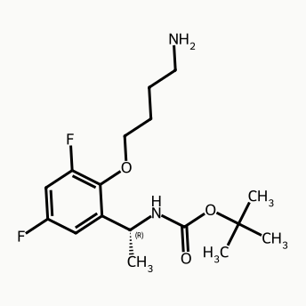 C[C@@H](NC(=O)OC(C)(C)C)c1cc(F)cc(F)c1OCCCCN